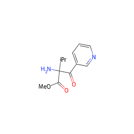 COC(=O)C(N)(C(=O)c1cccnc1)C(C)C